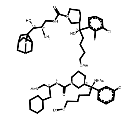 CCOCCCC[C@@](NC(C)=O)(c1cccc(Cl)c1)[C@@H]1CCCN(C(=O)N[C@H](CNC)CC2CCCCC2)C1.COCCCC[C@@](O)(c1cccc(Cl)c1F)C1CCCN(C(=O)NC[C@@H](N)[C@@H](O)C23CC4CC(CC2C4)C3)C1